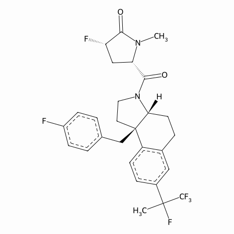 CN1C(=O)[C@@H](F)C[C@H]1C(=O)N1CC[C@@]2(Cc3ccc(F)cc3)c3ccc(C(C)(F)C(F)(F)F)cc3CC[C@@H]12